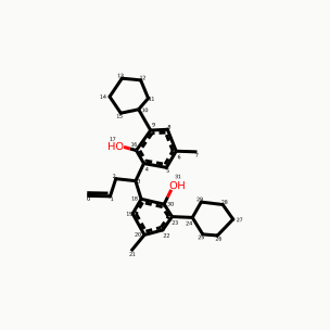 C=CCC(c1cc(C)cc(C2CCCCC2)c1O)c1cc(C)cc(C2CCCCC2)c1O